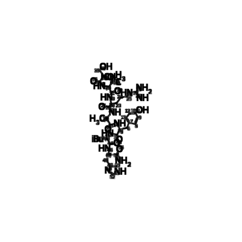 CC[C@H](C)[C@H](NC(=O)[C@H](Cc1ccc(O)cc1)NC(=O)[C@H](C)NC(=O)[C@H](CCCNC(=N)N)NC(=O)[C@@H](NC(=O)[C@@H](C)CO)[C@@H](C)O)C(=O)N[C@@H](Cc1c[nH]cn1)C(N)=O